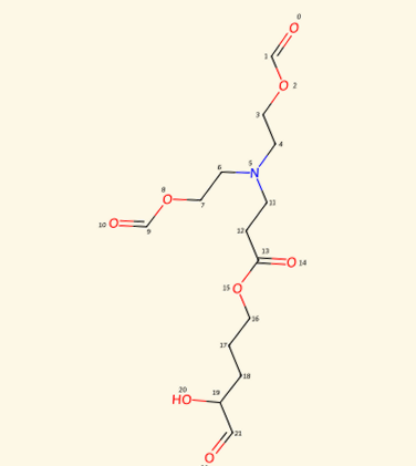 O=COCCN(CCOC=O)CCC(=O)OCCCC(O)C=O